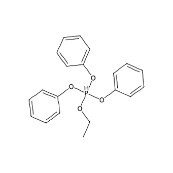 CCO[PH](Oc1ccccc1)(Oc1ccccc1)Oc1ccccc1